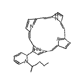 CCCC(C)N1C=CC=CC1c1cc2cc3nc(cc4ccc(cc5nc(cc1[nH]2)C=C5)[nH]4)C=C3